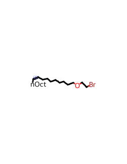 CCCCCCCC/C=C\CCCCCCCCOCCBr